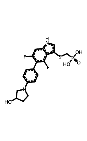 O=P(O)(O)CSc1c[nH]c2cc(F)c(-c3ccc(N4CCC(O)C4)cc3)c(F)c12